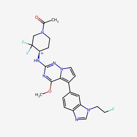 COc1nc(N[C@@H]2CCN(C(C)=O)CC2(F)F)nn2ccc(-c3ccc4ncn(CCF)c4c3)c12